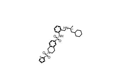 C[C@@H](CC1CCCCC1)NCc1ccccc1NS(=O)(=O)c1ccc2c(c1)CCN(S(=O)(=O)c1cccs1)C2